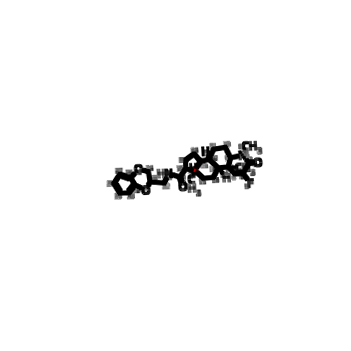 CN1C(=O)C(F)=C[C@@]2(C)C1CC[C@@H]1[C@H]2CC[C@]2(C)C(C(=O)NCC3COc4ccccc4O3)CC[C@@H]12